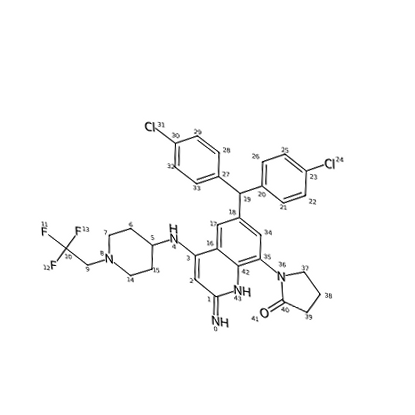 N=c1cc(NC2CCN(CC(F)(F)F)CC2)c2cc(C(c3ccc(Cl)cc3)c3ccc(Cl)cc3)cc(N3CCCC3=O)c2[nH]1